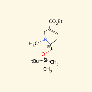 CCOC(=O)C1=CC[C@@H](CO[Si](C)(C)C(C)(C)C)N(C)C1